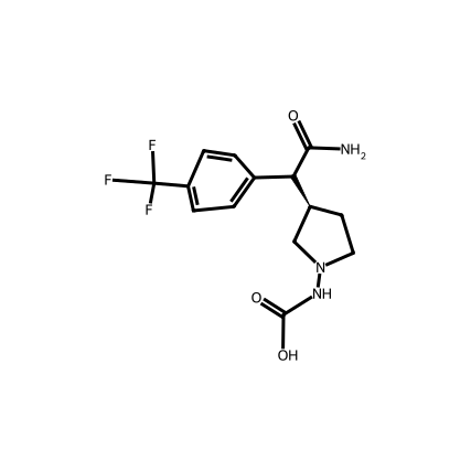 NC(=O)C(c1ccc(C(F)(F)F)cc1)[C@H]1CCN(NC(=O)O)C1